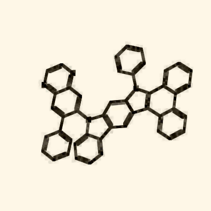 c1ccc(-c2cc3nccnc3cc2-n2c3ccccc3c3cc4c5c6ccccc6c6ccccc6c5n(-c5ccccc5)c4cc32)cc1